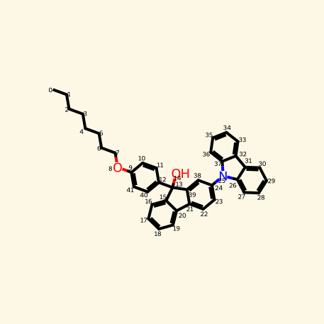 CCCCCCCCOc1ccc(C2(O)c3ccccc3-c3ccc(-n4c5ccccc5c5ccccc54)cc32)cc1